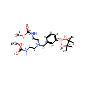 CC(C)(C)OC(=O)NCCN(CCNC(=O)OC(C)(C)C)Cc1cccc(B2OC(C)(C)C(C)(C)O2)c1